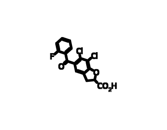 O=C(c1ccccc1F)c1cc2c(c(Cl)c1Cl)OC(C(=O)O)C2